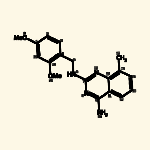 COc1ccc(CNc2nc(N)c3cccc(C)c3n2)c(OC)c1